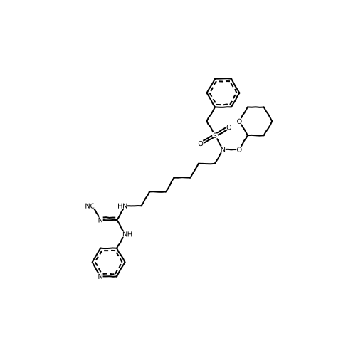 N#C/N=C(\NCCCCCCCN(OC1CCCCO1)S(=O)(=O)Cc1ccccc1)Nc1ccncc1